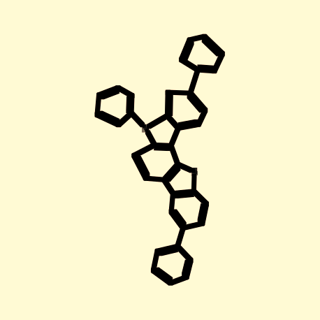 c1ccc(-c2ccc3sc4c(ccc5c4c4ccc(-c6ccccc6)cc4n5-c4ccccc4)c3c2)cc1